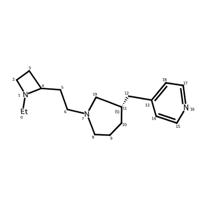 CCN1CCC1CCN1CCC[C@@H](Cc2ccncc2)C1